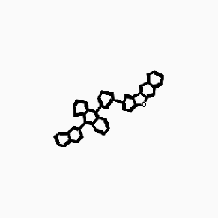 c1cc(-c2ccc3oc4cc5ccccc5cc4c3c2)cc(-c2c3ccccc3c(-c3ccc4ccccc4c3)c3ccccc23)c1